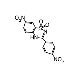 O=[N+]([O-])c1ccc(C2=NS(=O)(=O)c3cc([N+](=O)[O-])ccc3N2)cc1